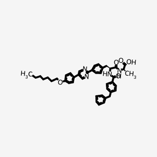 CCCCCCCOc1ccc(-c2cnc(-c3ccc(C[C@H](NC(=O)c4ccc(Cc5ccccc5)cc4)C(=O)N[C@H](C)C(=O)O)cc3)nc2)cc1